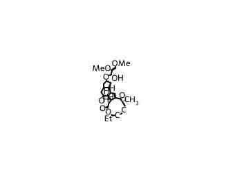 CC[C@H]1CCCC[C@@H](C)C(=O)C2=C[C@@H]3[C@@H](C(=O)CC4C[C@@H](O[C@H](O)/C(=C/OC)OC)C[C@H]43)[C@@H]2CC(=O)O1